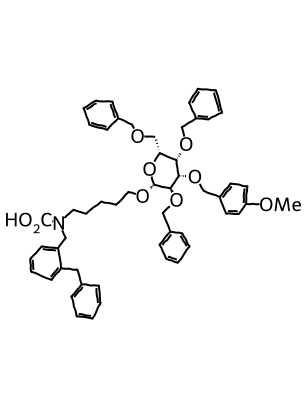 COc1ccc(CO[C@H]2[C@@H](OCc3ccccc3)[C@@H](COCc3ccccc3)O[C@@H](OCCCCCN(Cc3ccccc3Cc3ccccc3)C(=O)O)[C@@H]2OCc2ccccc2)cc1